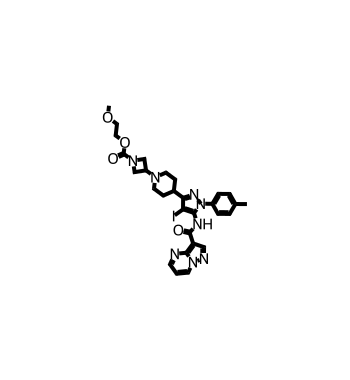 COCCOC(=O)N1CC(N2CCC(c3nn(-c4ccc(C)cc4)c(NC(=O)c4cnn5cccnc45)c3I)CC2)C1